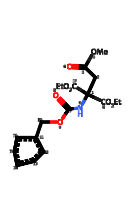 CCOC(=O)C(CC(=O)OC)(NC(=O)OCc1ccccc1)C(=O)OCC